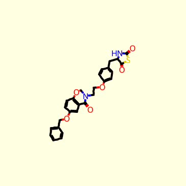 O=C1NC(Cc2ccc(OCCN3COc4ccc(OCc5ccccc5)cc4C3=O)cc2)C(=O)S1